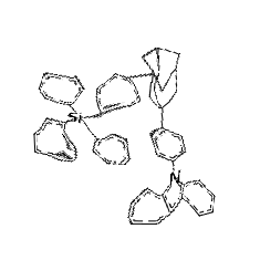 c1ccc([Si](c2ccccc2)(c2ccccc2)c2ccc(C34CC5CC(CC(c6ccc(-n7c8ccccc8c8ccccc87)cc6)(C5)C3)C4)cc2)cc1